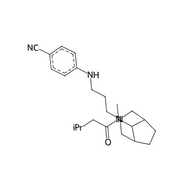 CC(C)CC(=O)N(C)C1C2CCC1CN(CCCNc1ccc(C#N)cc1)C2